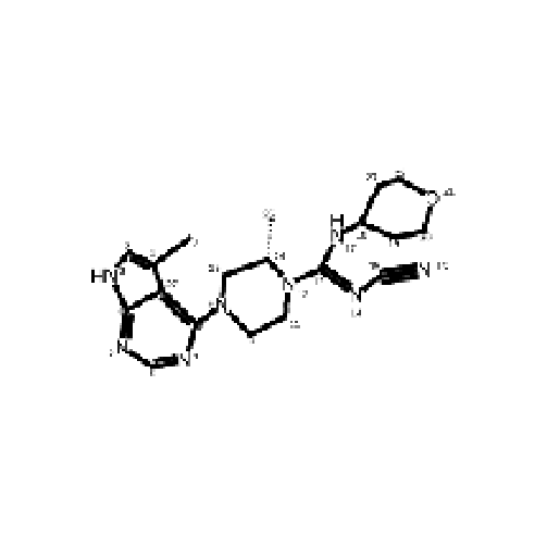 Cc1c[nH]c2ncnc(N3CCN(/C(=N/C#N)NC4CCOCC4)[C@@H](C)C3)c12